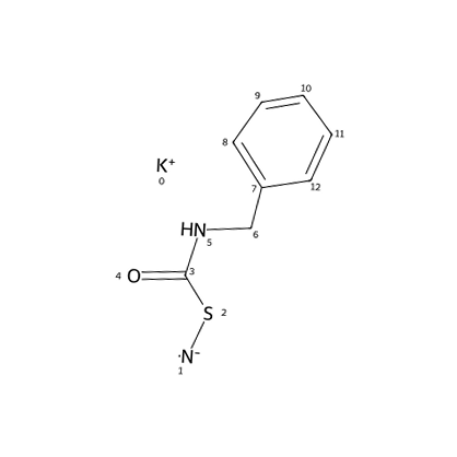 [K+].[N-]SC(=O)NCc1ccccc1